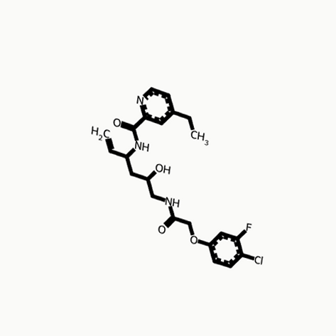 C=CC(CC(O)CNC(=O)COc1ccc(Cl)c(F)c1)NC(=O)c1cc(CC)ccn1